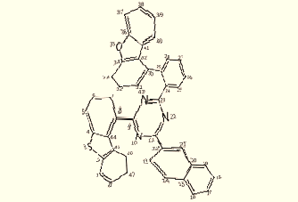 C1=Cc2sc3cccc(-c4nc(-c5ccc6ccccc6c5)nc(-c5ccccc5C5=CCCc6oc7ccccc7c65)n4)c3c2CC1